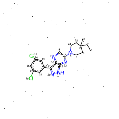 CCC1(C)CCN(c2cnc3c(-c4cc(Cl)cc(Cl)c4)n[nH]c3n2)CC1